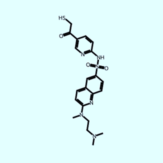 CN(C)CCN(C)c1ccc2cc(S(=O)(=O)Nc3ccc(C(=O)CS)cn3)ccc2n1